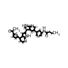 CCCC(=O)Nc1cncc(-c2cnc3[nH]nc(-c4cc5c(-c6ccc(C(C)=O)s6)ccnc5[nH]4)c3c2)c1